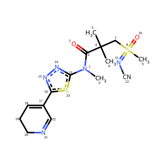 CN(C(=O)C(C)(C)CS(C)(=O)=NC#N)c1nnc(C2=CCCN=C2)s1